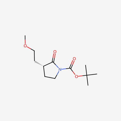 COCC[C@H]1CCN(C(=O)OC(C)(C)C)C1=O